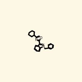 c1ccc(Cn2nc(-c3nc(C4CCCCC4)co3)c3ccccc32)cc1